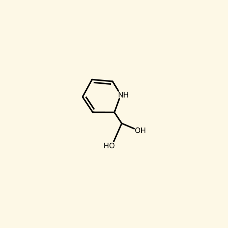 OC(O)C1C=CC=CN1